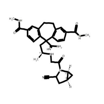 CNC(=O)c1ccc2c(c1)CCc1cc(C(=O)NC)ccc1C2(C[C@H](C)NCC(=O)N1C(C#N)C[C@@H]2C[C@@H]21)C(=N)N